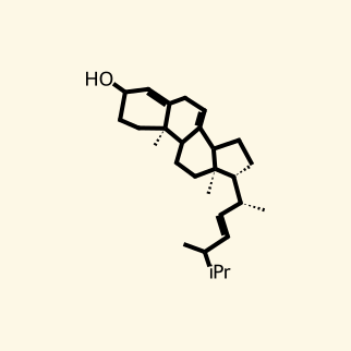 CC(C)C(C)/C=C/[C@@H](C)[C@H]1CCC2C3=CCC4=CC(O)CC[C@]4(C)C3CC[C@@]21C